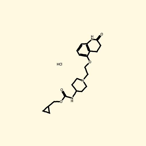 Cl.O=C1CCc2c(cccc2OCCN2CCC(NC(=O)OCC3CC3)CC2)N1